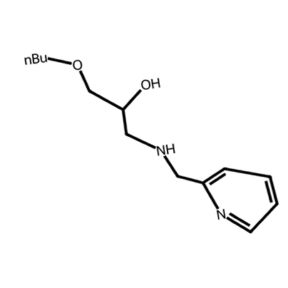 CCCCOCC(O)CNCc1ccccn1